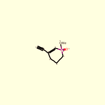 C#CC1=CP(=O)(OC)CCC1